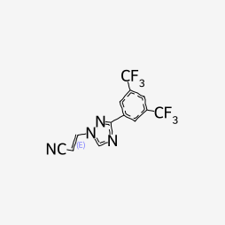 N#C/C=C/n1cnc(-c2cc(C(F)(F)F)cc(C(F)(F)F)c2)n1